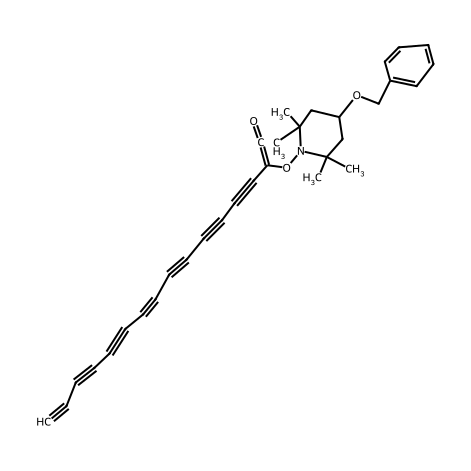 C#CC#CC#CC#CC#CC#CC#CC(=C=O)ON1C(C)(C)CC(OCc2ccccc2)CC1(C)C